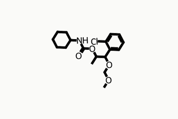 COCOC(c1ccccc1Cl)C(C)OC(=O)NC1CCCCC1